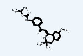 COc1ccc2c(c1)/C(=C/C(=O)c1cccc(NC(=O)OC(C)C)c1)NC(C)(C)C2